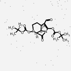 CC(C)(C)OC(=O)OC1=C(C=O)C2CCN(OC(=O)OC(C)(C)C)[C@@H]3C(=O)N1[C@H]23